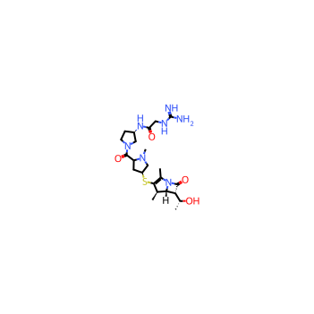 CC1=C(S[C@H]2CC(C(=O)N3CC[C@H](NC(=O)CNC(=N)N)C3)N(C)C2)[C@H](C)[C@H]2[C@@H]([C@@H](C)O)C(=O)N12